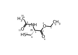 C[CH]OC(=O)[C@H](CS)NC(C)=O